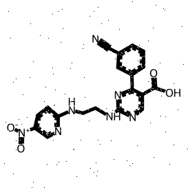 N#Cc1cccc(-c2nc(NCCNc3ccc([N+](=O)[O-])cn3)ncc2C(=O)O)c1